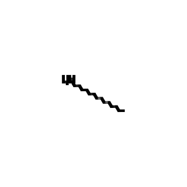 [CH2]CCCCCCCCCCCCCCC.[LiH]